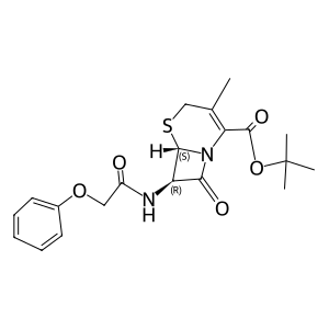 CC1=C(C(=O)OC(C)(C)C)N2C(=O)[C@@H](NC(=O)COc3ccccc3)[C@@H]2SC1